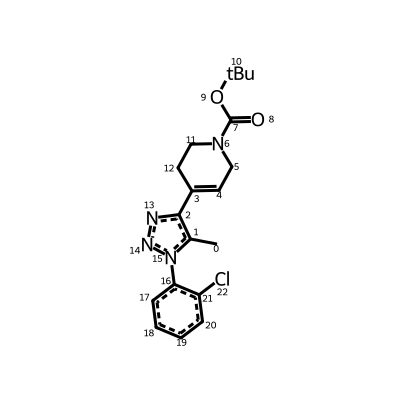 Cc1c(C2=CCN(C(=O)OC(C)(C)C)CC2)nnn1-c1ccccc1Cl